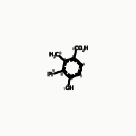 Cc1c(C(=O)O)ccc(O)c1C(C)C